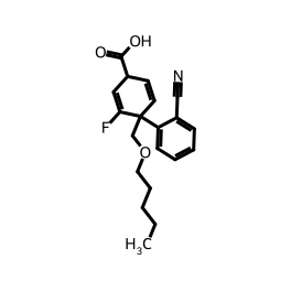 CCCCCOCC1(c2ccccc2C#N)C=CC(C(=O)O)C=C1F